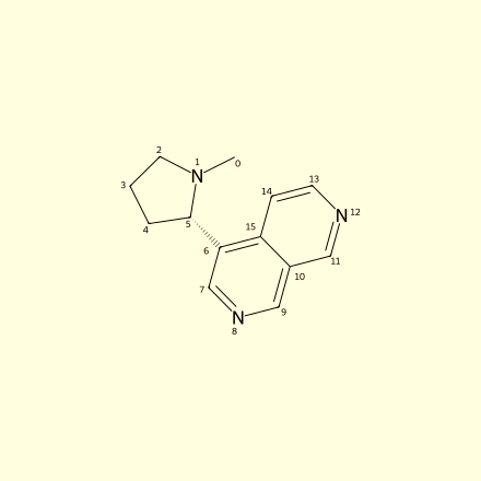 CN1CCC[C@H]1c1cncc2cnccc12